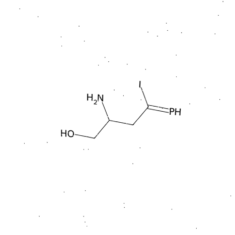 NC(CO)CC(=P)I